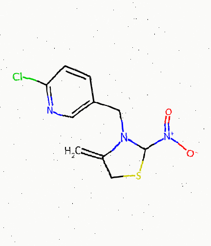 C=C1CSC([N+](=O)[O-])N1Cc1ccc(Cl)nc1